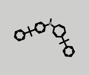 CN(c1ccc(C(C)(C)c2ccccc2)cc1)C1C=CC=C(C(C)(C)c2ccccc2)C=C1